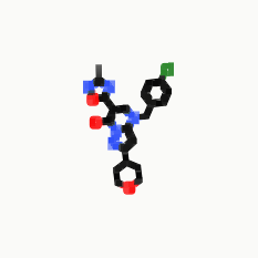 Cc1noc(-c2cn(Cc3ccc(Cl)cc3)c3cc(C4CCOCC4)nn3c2=O)n1